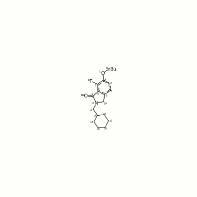 CCCCOc1ccc2c(c1F)C(=O)N(CC1CCCCC1)C2